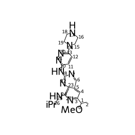 COC(C)c1cc2cnc(Nc3ccc(N4CCNCC4)nn3)nc2c(NC(C)C)n1